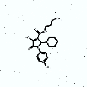 CCCCNC(=O)C1=C(O)C(=O)N(c2ccc(C)cc2)C1C1CCCCC1